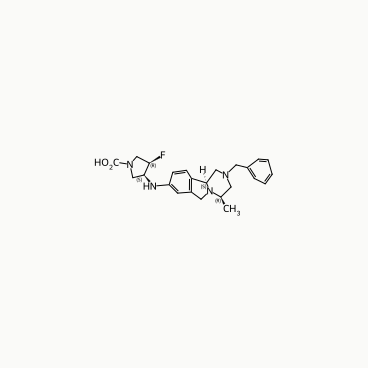 C[C@@H]1CN(Cc2ccccc2)C[C@@H]2c3ccc(N[C@H]4CN(C(=O)O)C[C@H]4F)cc3CN12